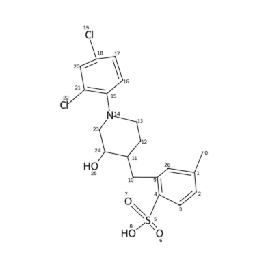 Cc1ccc(S(=O)(=O)O)c(CC2CCN(c3ccc(Cl)cc3Cl)CC2O)c1